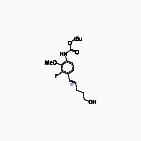 COc1c(NC(=O)OC(C)(C)C)ccc(/C=C/CCCO)c1F